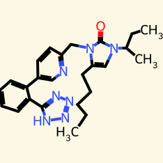 CCCCCc1cn(C(C)CC)c(=O)n1Cc1ccc(-c2ccccc2-c2nnn[nH]2)cn1